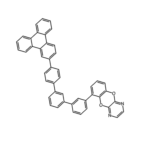 c1cc(-c2ccc(-c3ccc4c5ccccc5c5ccccc5c4c3)cc2)cc(-c2cccc(-c3cccc4c3Oc3nccnc3O4)c2)c1